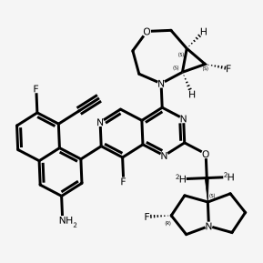 [2H]C([2H])(Oc1nc(N2CCOC[C@H]3[C@H](F)[C@H]32)c2cnc(-c3cc(N)cc4ccc(F)c(C#C)c34)c(F)c2n1)[C@@]12CCCN1C[C@H](F)C2